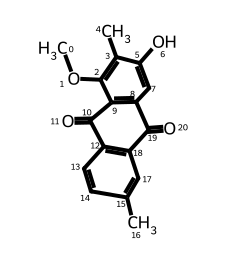 COc1c(C)c(O)cc2c1C(=O)c1ccc(C)cc1C2=O